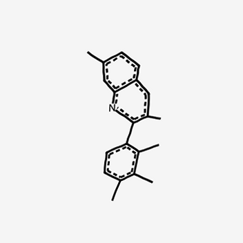 Cc1ccc2cc(C)c(-c3ccc(C)c(C)c3C)nc2c1